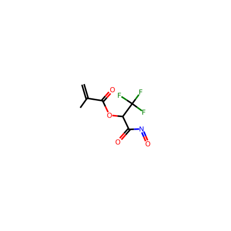 C=C(C)C(=O)OC(C(=O)N=O)C(F)(F)F